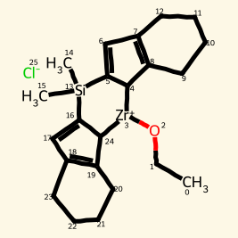 CC[O][Zr+]1[CH]2C(=CC3=C2CCCC3)[Si](C)(C)C2=CC3=C(CCCC3)[CH]21.[Cl-]